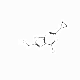 OCc1cc2c(Cl)nc(C3CC3)cc2[nH]1